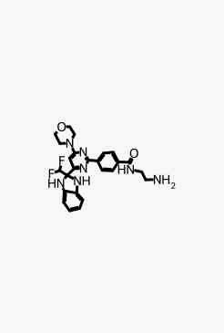 NCCNC(=O)c1ccc(-c2nc(N3CCOCC3)cc(C3(C(F)F)Nc4ccccc4N3)n2)cc1